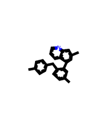 Cc1ccc(Cc2ccc(C)cc2-c2cc(C)cc3ncccc23)cc1